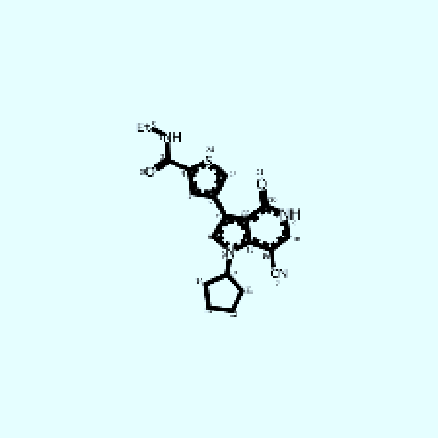 CCNC(=O)c1cc(-c2cn(C3CCCC3)c3c(C#N)c[nH]c(=O)c23)cs1